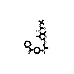 Cc1nc(OCC(=O)N(C)C2CCN(C(=O)N3CCCCC3)CC2)nc(C)c1NC(=O)OC(C)(C)C